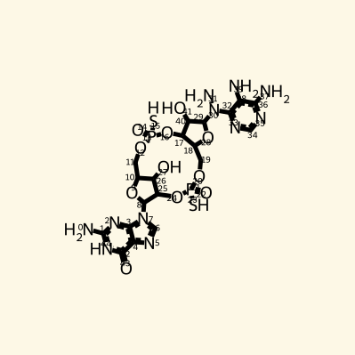 Nc1nc2c(ncn2C2OC3COP(=O)(S)OC4C(COP(=O)(S)OC2C3O)OC(N(N)c2ncnc(N)c2N)C4O)c(=O)[nH]1